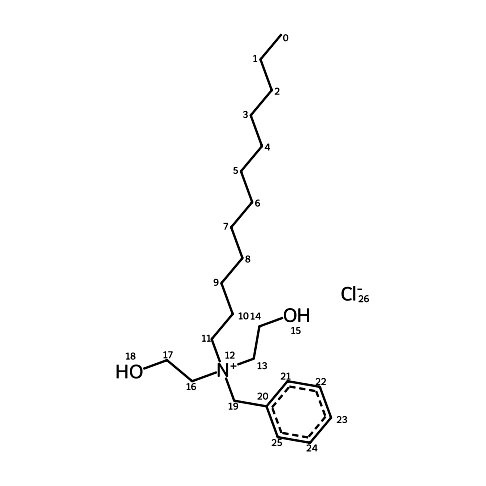 CCCCCCCCCCCC[N+](CCO)(CCO)Cc1ccccc1.[Cl-]